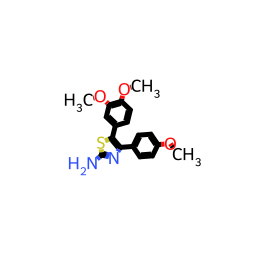 COc1ccc(-c2nc(N)sc2-c2ccc(OC)c(OC)c2)cc1